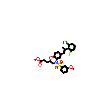 COC(=O)CCC1CN(S(=O)(=O)c2cccc(OC)c2)c2cc(/C=C(\C)c3c(F)cccc3Cl)ccc2O1